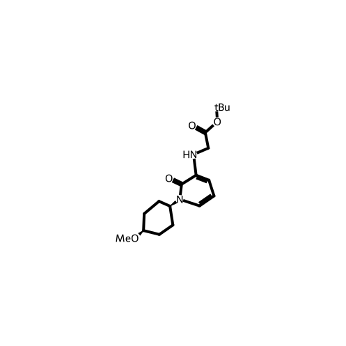 CO[C@H]1CC[C@@H](n2cccc(NCC(=O)OC(C)(C)C)c2=O)CC1